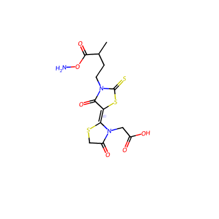 CC(CCN1C(=O)/C(=C2\SCC(=O)N2CC(=O)O)SC1=S)C(=O)ON